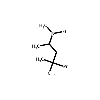 CCN(C)C(C)CC(C)(C)C(C)C